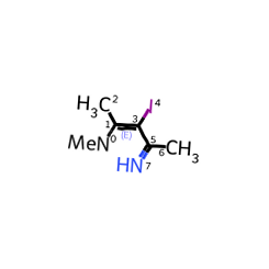 CN/C(C)=C(/I)C(C)=N